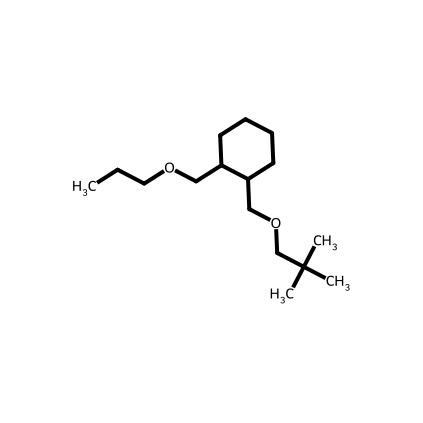 CCCOCC1CCCCC1COCC(C)(C)C